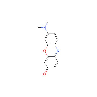 CN(C)c1ccc2nc3ccc(=O)cc-3oc2c1